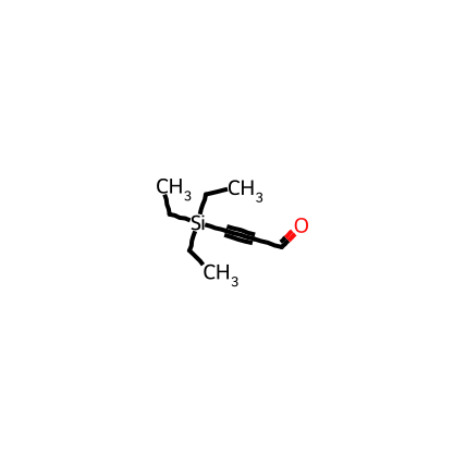 CC[Si](C#CC=O)(CC)CC